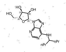 CCCC(CCC)Nc1ncnc2c1ncn2[C@@H]1O[C@H](CO)[C@@H](O)[C@H]1O